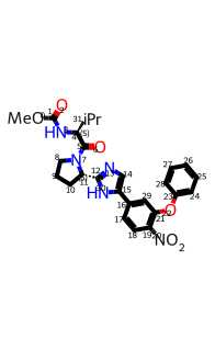 COC(=O)N[C@H](C(=O)N1CCC[C@H]1c1ncc(-c2ccc([N+](=O)[O-])c(Oc3ccccc3)c2)[nH]1)C(C)C